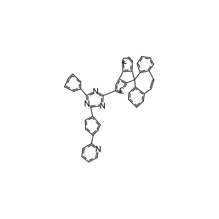 C1=Cc2ccccc2C2(c3ccccc31)c1ccccc1-c1cc(-c3nc(-c4ccccc4)nc(-c4ccc(-c5ccccn5)cc4)n3)ccc12